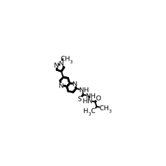 CC(C)C(=O)NNC(=S)Nc1ccc2ncc(-c3cnn(C)c3)cc2n1